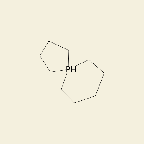 C1CC[PH]2(CC1)CCCC2